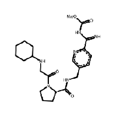 COC(=O)NC(=N)c1ccc(CNC(=O)[C@H]2CCCN2C(=O)CNC2CCCCC2)cn1